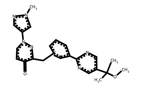 COC(C)(C)c1cnc(-c2cccc(Cc3nn(-c4cnn(C)c4)ccc3=O)c2)nc1